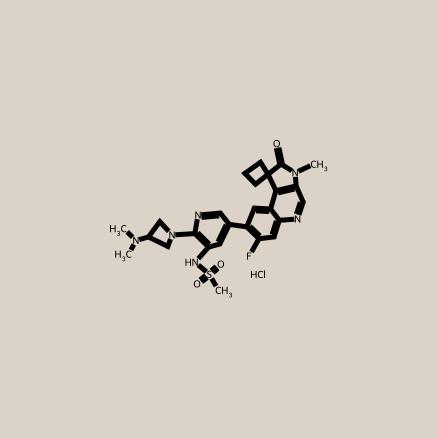 CN1C(=O)C2(CCC2)c2c1cnc1cc(F)c(-c3cnc(N4CC(N(C)C)C4)c(NS(C)(=O)=O)c3)cc21.Cl